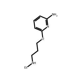 CCNCCCOc1cccc(N)n1